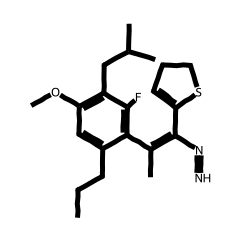 CCCc1cc(OC)c(CC(C)C)c(F)c1/C(C)=C(/N=N)C1=CCCS1